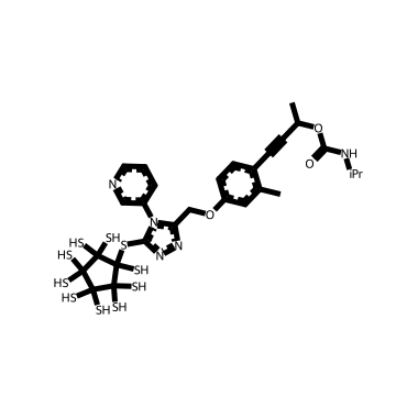 Cc1cc(OCc2nnc(SC3(S)C(S)(S)C(S)(S)C(S)(S)C3(S)S)n2-c2cccnc2)ccc1C#CC(C)OC(=O)NC(C)C